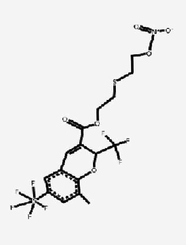 Cc1cc(S(F)(F)(F)(F)F)cc2c1OC(C(F)(F)F)C(C(=O)OCCSCCO[N+](=O)[O-])=C2